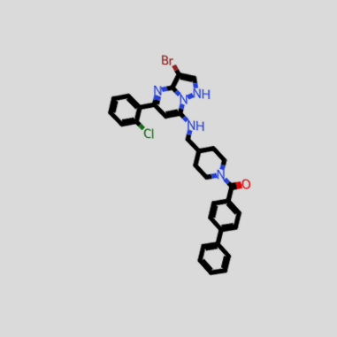 O=C(c1ccc(-c2ccccc2)cc1)N1CCC(CNC2=CC(c3ccccc3Cl)=NC3C(Br)=CNN23)CC1